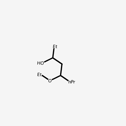 CCCC(CC(O)CC)OCC